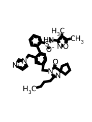 CCCCC1=NC2(CCCC2)C(=O)N1Cc1ccc(-c2ccccc2[S+]([O-])Nc2noc(C)c2C)c(Cn2ccnc2)c1